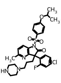 Cc1ccc2c(n1)C(CCCN1CCNCC1)(c1ccccc1F)C(=O)N2S(=O)(=O)c1ccc(OC(C)C)cc1.Cl